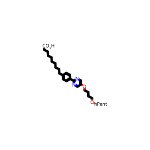 CCCCCOCCCCOc1cnc(-c2ccc(CCCCCCCCCC(=O)O)cc2)nc1